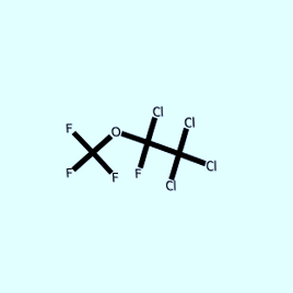 FC(F)(F)OC(F)(Cl)C(Cl)(Cl)Cl